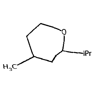 CC1CCOC(C(C)C)C1